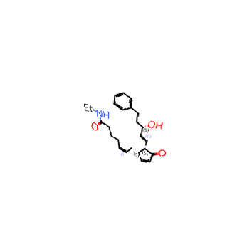 CCNC(=O)CCC/C=C\C[C@H]1C=CC(=O)[C@@H]1/C=C/[C@@H](O)CCc1ccccc1